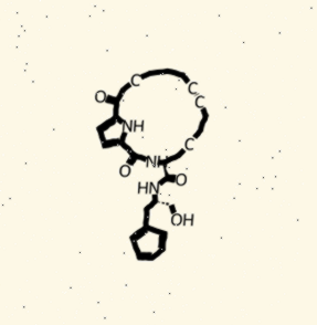 O=C1CCCCCCCCCCC[C@@H](C(=O)N[C@H](CO)Cc2ccccc2)NC(=O)c2ccc1[nH]2